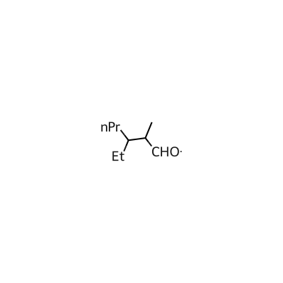 CCCC(CC)C(C)[C]=O